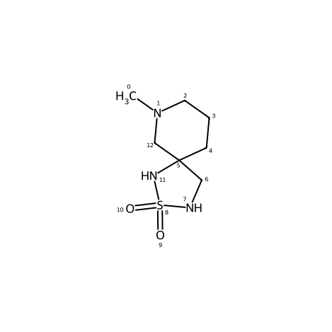 CN1CCCC2(CNS(=O)(=O)N2)C1